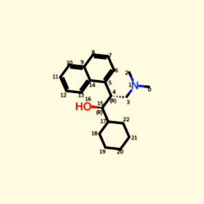 CN(C)C[C@@H](c1cccc2ccccc12)[C@H](O)C1CCCCC1